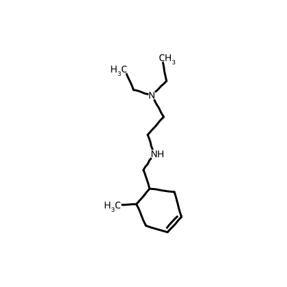 CCN(CC)CCNCC1CC=CCC1C